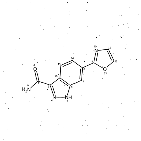 NC(=O)c1n[nH]c2cc(-c3ncco3)ccc12